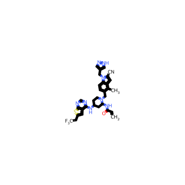 C=CC(=O)NC1CC(Nc2ncnc3sc(CC(F)(F)F)cc23)CCN1Cc1ccc2c(cc(C#N)n2Cc2cn[nH]c2)c1C